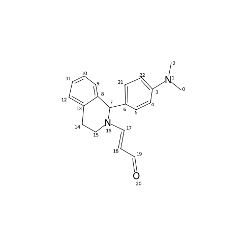 CN(C)c1ccc(C2c3ccccc3CCN2C=CC=O)cc1